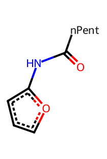 CCCCCC(=O)Nc1ccco1